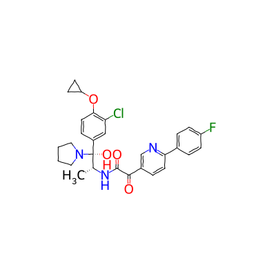 C[C@@H](NC(=O)C(=O)c1ccc(-c2ccc(F)cc2)nc1)[C@](O)(c1ccc(OC2CC2)c(Cl)c1)N1CCCC1